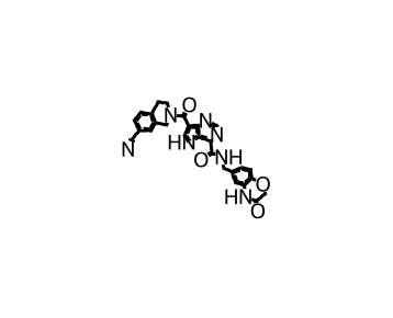 N#Cc1ccc2c(c1)CN(C(=O)c1c[nH]c3c(C(=O)NCc4ccc5c(c4)NC(=O)CO5)ncnc13)CC2